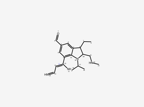 CCC1c2cc(C=O)cc(/C(N)=C/C=N)c2N(C(C)C)C1CNC